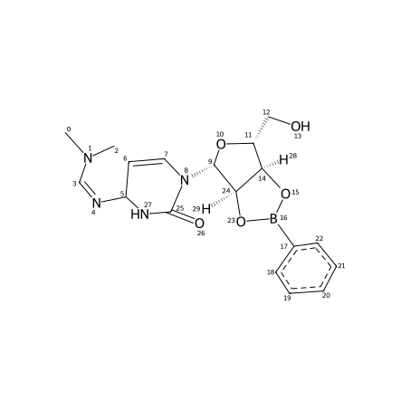 CN(C)/C=N\C1C=CN([C@@H]2O[C@H](CO)[C@H]3OB(c4ccccc4)O[C@H]32)C(=O)N1